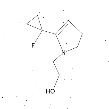 OCCN1CCC=C1C1(F)CC1